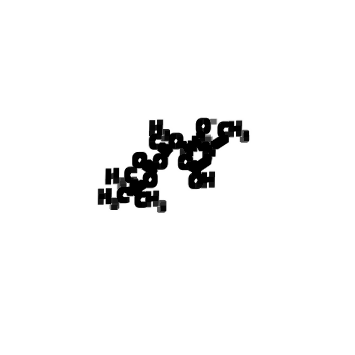 CCN(CC(=O)O)[N+]([O-])=NOC(C)OC(=O)OC(C)(C)C